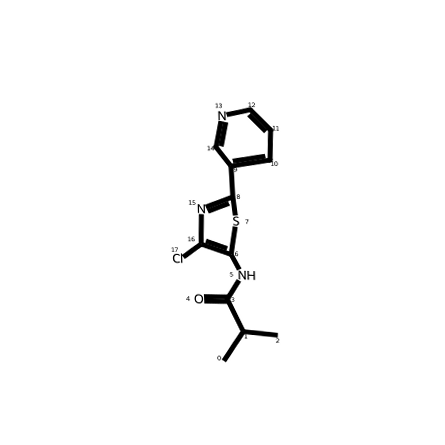 CC(C)C(=O)Nc1sc(-c2cccnc2)nc1Cl